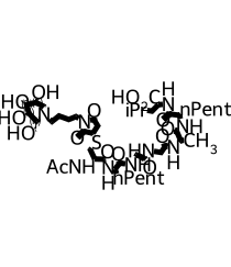 CCCCCC(NC(=O)C(C)NC(=O)CNC(=O)CNC(=O)C(CCCCC)NC(=O)C(CSC1CC(=O)N(CCCCN2C[C@H](O)[C@@H](O)[C@H](O)[C@H]2CO)C1=O)NC(C)=O)C(=O)NC(CC(C)C)C(=O)O